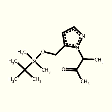 CC(=O)C(C)n1nccc1CO[Si](C)(C)C(C)(C)C